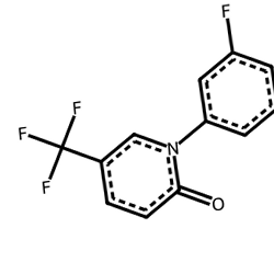 O=c1ccc(C(F)(F)F)cn1-c1cccc(F)c1